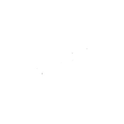 CON(C(=O)C1CC(C(N)=O)C1)c1ccc(Oc2nccs2)c(C)c1